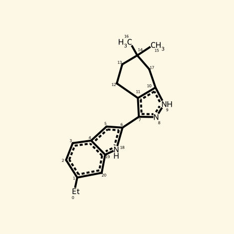 CCc1ccc2cc(-c3n[nH]c4c3CCC(C)(C)C4)[nH]c2c1